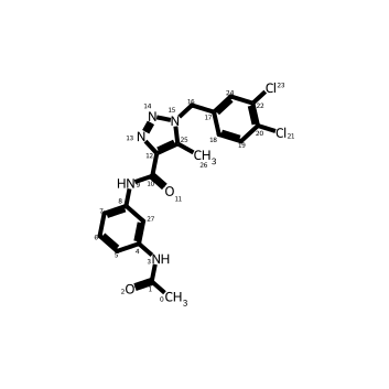 CC(=O)Nc1cccc(NC(=O)c2nnn(Cc3ccc(Cl)c(Cl)c3)c2C)c1